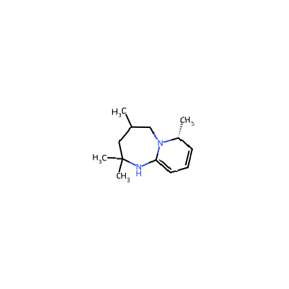 CC1CN2C(=CC=C[C@H]2C)NC(C)(C)C1